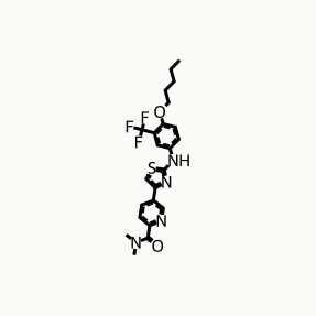 CCCCCOc1ccc(Nc2nc(-c3ccc(C(=O)N(C)C)nc3)cs2)cc1C(F)(F)F